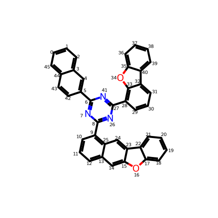 c1ccc2cc(-c3nc(-c4cccc5cc6oc7ccccc7c6cc45)nc(-c4cccc5c4oc4ccccc45)n3)ccc2c1